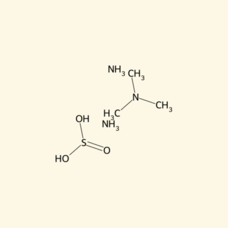 CN(C)C.N.N.O=S(O)O